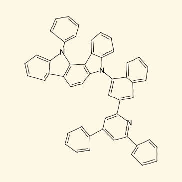 c1ccc(-c2cc(-c3ccccc3)nc(-c3cc(-n4c5ccccc5c5c4ccc4c6ccccc6n(-c6ccccc6)c45)c4ccccc4c3)c2)cc1